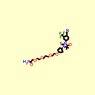 CC1(C)C(=O)N(c2ccc(C#N)c(C(F)(F)F)c2)C(=S)N1c1ccc(OCCOCCCOCCOCC(N)=O)cc1